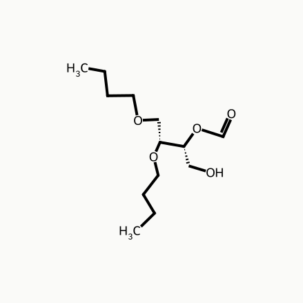 CCCCOC[C@@H](OCCCC)[C@@H](CO)OC=O